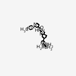 BC(B)(B)n1cc(-c2ccc3cnc(NC(=O)c4ccnc(N5CCN(C)CC5)c4)nc3c2)cn1